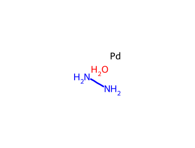 NN.O.[Pd]